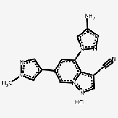 Cl.Cn1cc(-c2cc(-n3cc(N)cn3)c3c(C#N)cnn3c2)cn1